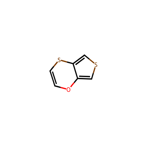 C1=CSc2cscc2O1